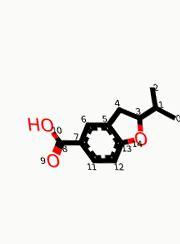 CC(C)C1Cc2cc(C(=O)O)ccc2O1